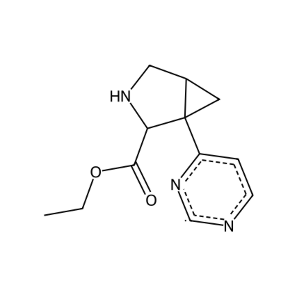 CCOC(=O)C1NCC2CC21c1ccn[c]n1